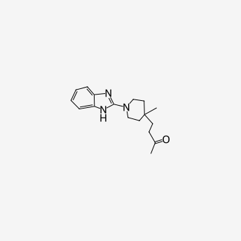 CC(=O)CCC1(C)CCN(c2nc3ccccc3[nH]2)CC1